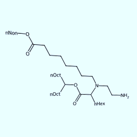 CCCCCCCCCOC(=O)CCCCCCCN(CCN)C(CCCCCC)C(=O)OC(CCCCCCCC)CCCCCCCC